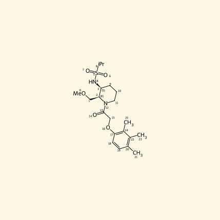 COC[C@H]1[C@@H](NS(=O)(=O)C(C)C)CCCN1C(=O)COc1ccc(C)c(C)c1C